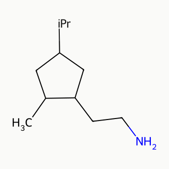 CC(C)C1CC(C)C(CCN)C1